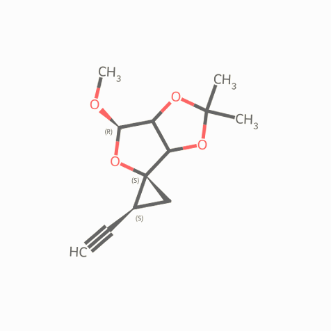 C#C[C@@H]1C[C@]12O[C@@H](OC)C1OC(C)(C)OC12